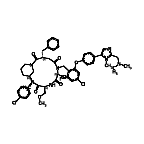 COC[C@@H]1NC(=O)[C@H](C)N(Cc2c(F)cc(Cl)cc2Oc2ccc(-c3cnc(CN(C)C)n3C)cc2)C(=O)C[C@@H](Cc2ccccc2)C(=O)N2CCC[C@@](Cc3ccc(Cl)cc3)(C2)N(C)C1=O